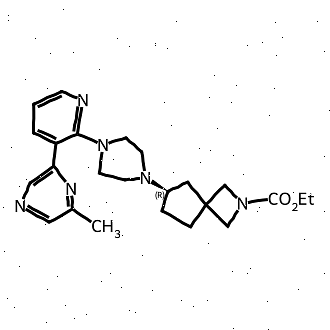 CCOC(=O)N1CC2(CC[C@@H](N3CCN(c4ncccc4-c4cncc(C)n4)CC3)C2)C1